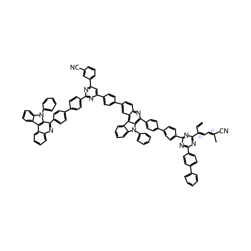 C=C/C(=C\C=C(/C)C#N)c1nc(-c2ccc(-c3ccccc3)cc2)nc(-c2ccc(-c3ccc(-c4nc5ccc(-c6ccc(-c7cc(-c8cccc(C#N)c8)nc(-c8ccc(-c9ccc(-c%10nc%11ccccc%11c%11c%12ccccc%12n(-c%12ccccc%12)c%10%11)cc9)cc8)n7)cc6)cc5c5c6ccccc6n(-c6ccccc6)c45)cc3)cc2)n1